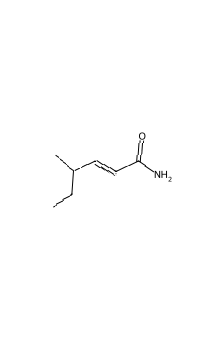 CCC(C)/C=[C]/C(N)=O